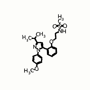 COc1ccc(-n2nc(C(C)C)cc2-c2ccccc2OCCNS(C)(=O)=O)cc1